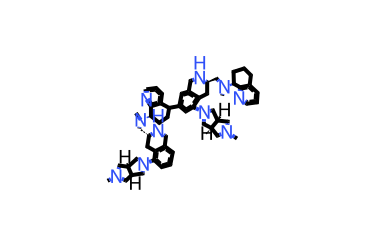 CN1C[C@@H]2CN(c3cccc4c3C[C@H](CN(C)[C@H]3CCC(c5cc6c(c(N7C[C@@H]8CN(C)C[C@H]8C7)c5)C[C@H](CN(C)[C@H]5CCCc7cccnc75)NC6)c5cccnc53)NC4)C[C@@H]2C1